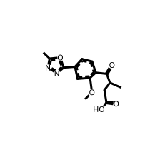 COc1cc(-c2nnc(C)o2)ccc1C(=O)C(C)CC(=O)O